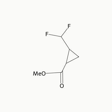 COC(=O)C1CC1C(F)F